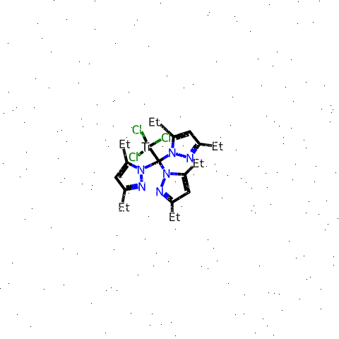 CCc1cc(CC)n([C](n2nc(CC)cc2CC)(n2nc(CC)cc2CC)[Ti]([Cl])([Cl])[Cl])n1